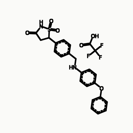 O=C(O)C(F)(F)F.O=C1CC(c2ccc(CNc3ccc(Oc4ccccc4)cc3)cc2)S(=O)(=O)N1